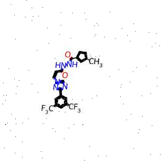 C[C@H]1CC[C@H](C(=O)NNC(=O)/C=C\n2cnc(-c3cc(C(F)(F)F)cc(C(F)(F)F)c3)n2)C1